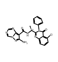 C[C@H](NC(=O)c1c(N)nn2cncnc12)c1nc2cccc(Cl)c2c(=O)n1-c1ccccc1